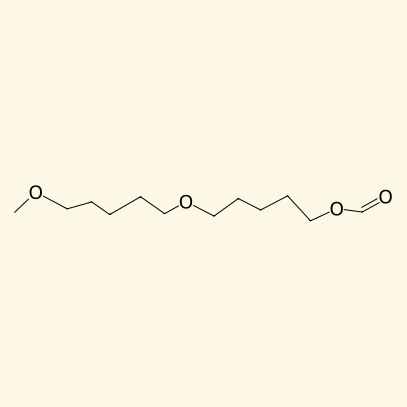 COCCCCCOCCCCCOC=O